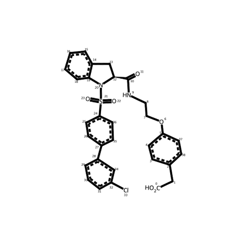 O=C(O)Cc1ccc(OCCNC(=O)[C@@H]2Cc3ccccc3N2S(=O)(=O)c2ccc(-c3cccc(Cl)c3)cc2)cc1